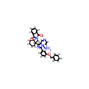 N[N+]12C=CN=CC1=C(C1(CN3C(=O)c4ccccc4C3=O)CCCCC1)N=C2c1cccc(OCc2ccccc2)c1